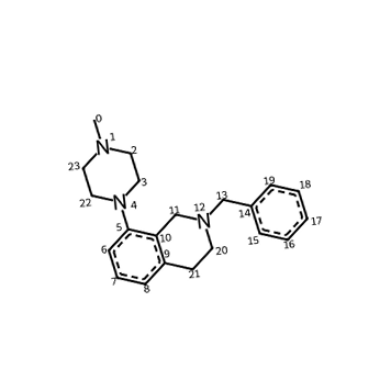 CN1CCN(c2cccc3c2CN(Cc2ccccc2)CC3)CC1